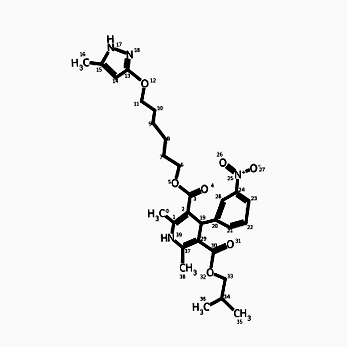 CC1=C(C(=O)OCCCCCCOc2cc(C)[nH]n2)C(c2cccc([N+](=O)[O-])c2)C(C(=O)OCC(C)C)=C(C)N1